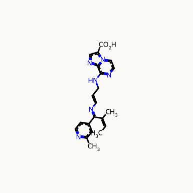 C\C=C(C)/C(=N\C=C\CNc1nccn2c(C(=O)O)cnc12)c1ccnc(C)c1